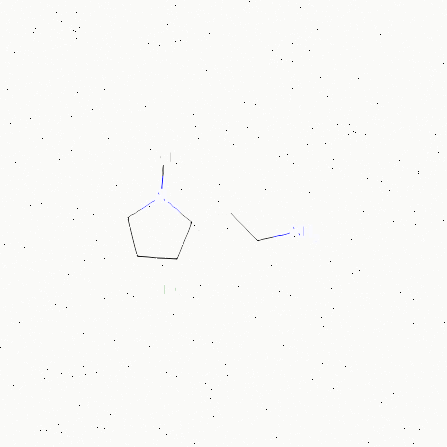 CN1CCC[C@H]1CCN.Cl